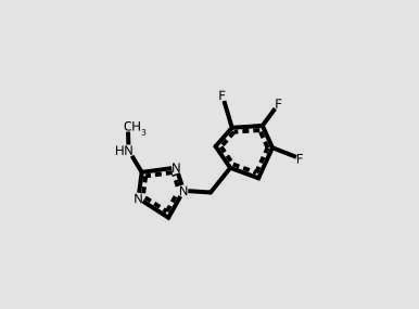 CNc1ncn(Cc2cc(F)c(F)c(F)c2)n1